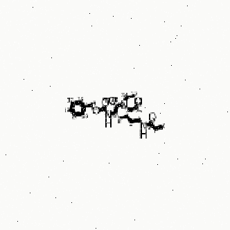 C=CC(=O)NCCCC[C@H](NC(=O)OCc1ccccc1)C(=O)N1CCOCC1